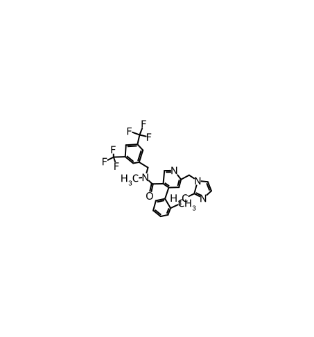 Cc1ccccc1-c1cc(Cn2ccnc2C)ncc1C(=O)N(C)Cc1cc(C(F)(F)F)cc(C(F)(F)F)c1